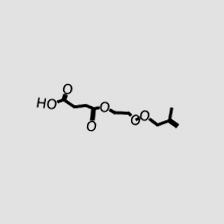 C=C(C)COOCCOC(=O)CCC(=O)O